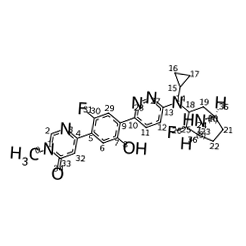 Cn1cnc(-c2cc(O)c(-c3ccc(N(C4CC4)C4C[C@H]5CC[C@H](N5)C4F)nn3)cc2F)cc1=O